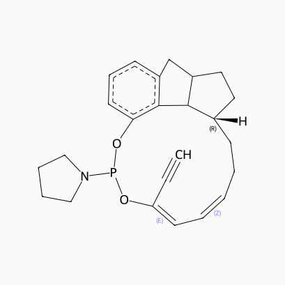 C#C/C1=C\C=C/CC[C@H]2CCC3Cc4cccc(c4C32)OP(N2CCCC2)O1